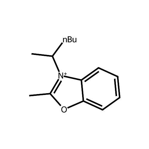 CCCCC(C)[n+]1c(C)oc2ccccc21